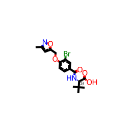 Cc1cc(COc2ccc(C(=O)N[C@H](C(=O)O)C(C)(C)C)cc2Br)on1